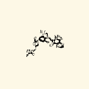 CCN(CCn1c(=O)c2nccnc2c(=O)n1C)c1ccc(N2C[C@H](CNC(=O)C(F)F)OC2=O)cc1F